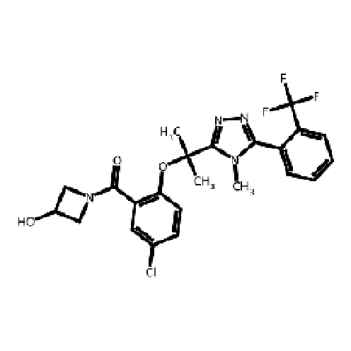 Cn1c(-c2ccccc2C(F)(F)F)nnc1C(C)(C)Oc1ccc(Cl)cc1C(=O)N1CC(O)C1